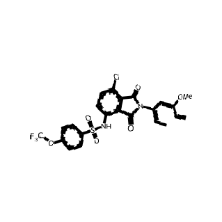 C=C/C(=C\C(=C/C)N1C(=O)c2c(Cl)ccc(NS(=O)(=O)c3ccc(OC(F)(F)F)cc3)c2C1=O)OC